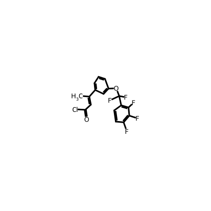 CC(=CC(=O)Cl)c1cccc(OC(F)(F)c2ccc(F)c(F)c2F)c1